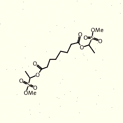 COS(=O)(=O)C(C)OC(=O)CCCCCCC(=O)OC(C)S(=O)(=O)OC